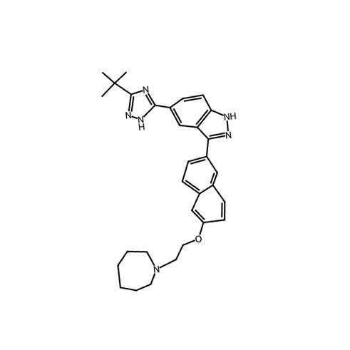 CC(C)(C)c1n[nH]c(-c2ccc3[nH]nc(-c4ccc5cc(OCCN6CCCCCC6)ccc5c4)c3c2)n1